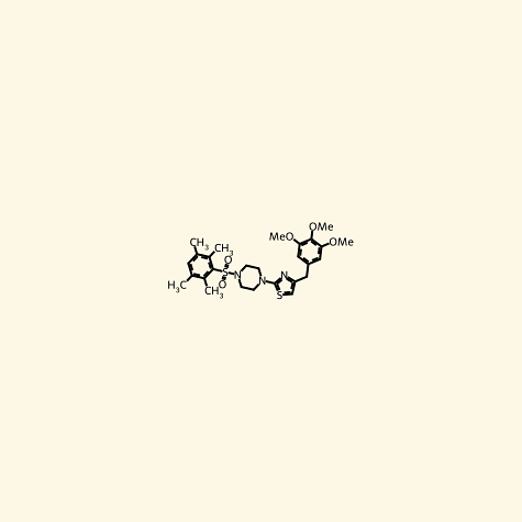 COc1cc(Cc2csc(N3CCN(S(=O)(=O)c4c(C)c(C)cc(C)c4C)CC3)n2)cc(OC)c1OC